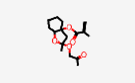 C=C(C)C(=O)OC12CCCCC1OC(C)(OCC(C)=O)C2